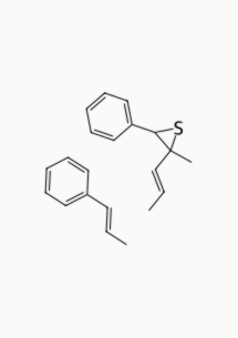 CC=CC1(C)SC1c1ccccc1.CC=Cc1ccccc1